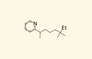 CCC(C)(C)CCCC(C)c1ccccn1